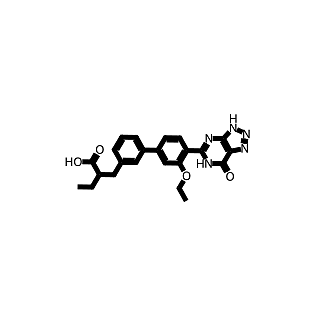 CCOc1cc(-c2cccc(CC(CC)C(=O)O)c2)ccc1-c1nc2[nH]nnc2c(=O)[nH]1